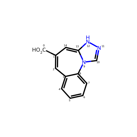 O=C(O)C1=Cc2ccccc2N2C=NNC2=C1